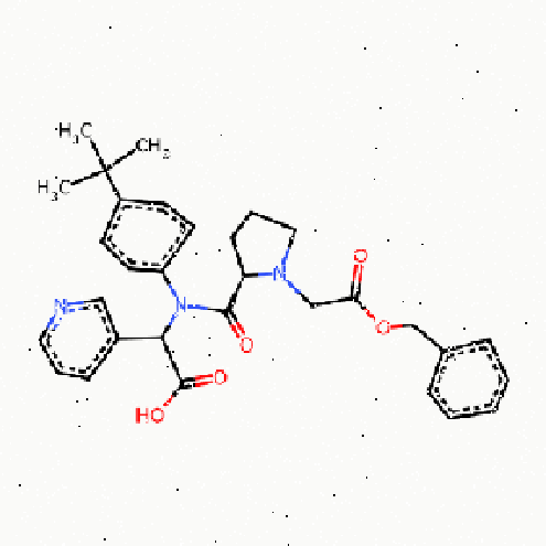 CC(C)(C)c1ccc(N(C(=O)[C@H]2CCCN2CC(=O)OCc2ccccc2)C(C(=O)O)c2cccnc2)cc1